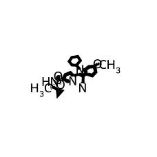 COc1ccc2c(C#N)c(-c3ccc(S(=O)(=O)N[C@@H](C)C4CC4)cn3)n(C3CCCCC3)c2c1